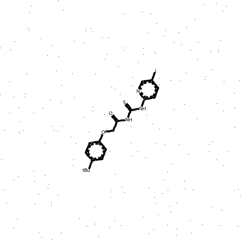 CC(C)(C)c1ccc(OCC(=O)NC(=S)Nc2ccc(I)cn2)cc1